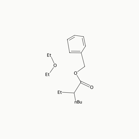 CCCCC(CC)C(=O)OCc1ccccc1.CCOCC